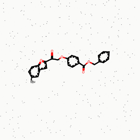 CC(C)(C)c1ccc2oc(C(=O)COc3ccc(C(=O)OCc4ccccc4)cc3)cc2c1